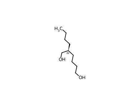 CCCC[C@H](CO)CCCCO